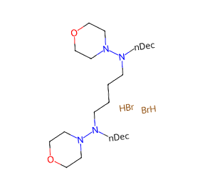 Br.Br.CCCCCCCCCCN(CCCCN(CCCCCCCCCC)N1CCOCC1)N1CCOCC1